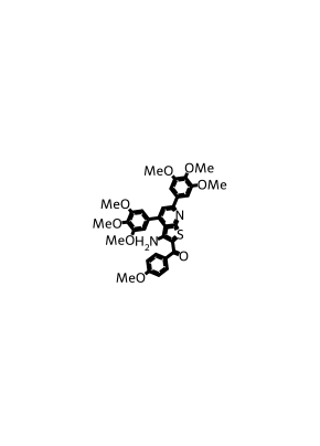 COc1ccc(C(=O)c2sc3nc(-c4cc(OC)c(OC)c(OC)c4)cc(-c4cc(OC)c(OC)c(OC)c4)c3c2N)cc1